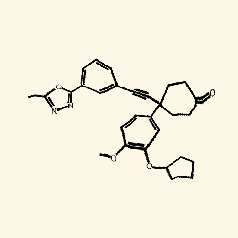 COc1ccc(C2(C#Cc3cccc(-c4nnc(C)o4)c3)CCC(=O)CC2)cc1OC1CCCC1